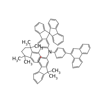 CC1(C)CCC(C)(C)c2c(-c3cc4c(cc3N(c3ccc(-c5cc6ccccc6c6ccccc56)cc3)c3ccc5c(c3)C(C)(C)c3ccccc3-5)C3(c5ccccc5-c5ccccc53)c3ccccc3-4)cccc21